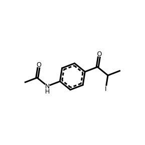 CC(=O)Nc1ccc(C(=O)C(C)I)cc1